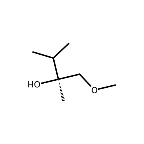 COC[C@@](C)(O)C(C)C